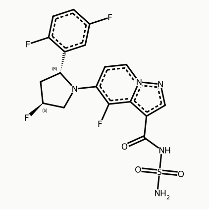 NS(=O)(=O)NC(=O)c1cnn2ccc(N3C[C@@H](F)C[C@@H]3c3cc(F)ccc3F)c(F)c12